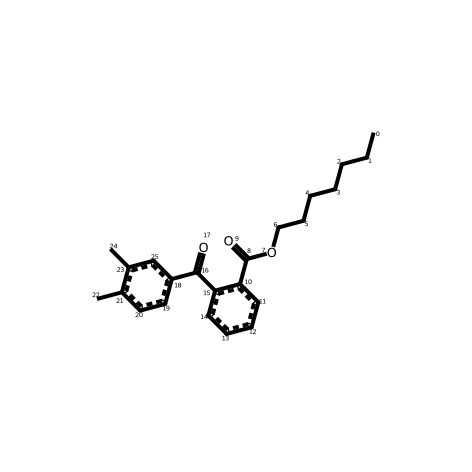 CCCCCCCOC(=O)c1ccccc1C(=O)c1ccc(C)c(C)c1